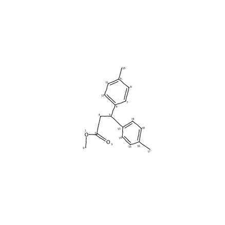 COC(=O)CC(c1ccc(C)cc1)c1ccc(C)cc1